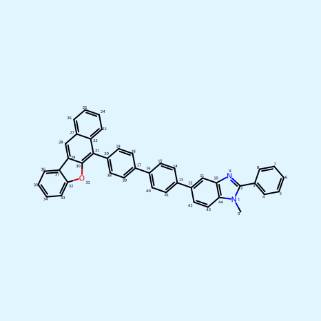 Cn1c(-c2ccccc2)nc2cc(-c3ccc(-c4ccc(-c5c6ccccc6cc6c5oc5ccccc56)cc4)cc3)ccc21